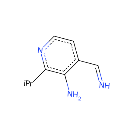 CC(C)c1nccc(C=N)c1N